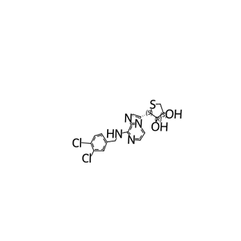 O[C@@H]1[C@H](O)CS[C@H]1c1cnc2c(NCc3ccc(Cl)c(Cl)c3)nccn12